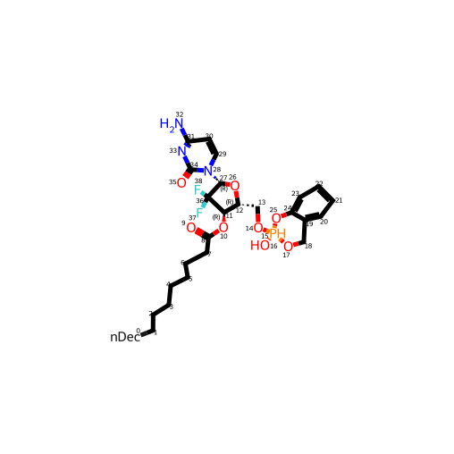 CCCCCCCCCCCCCCCCCC(=O)O[C@@H]1[C@@H](CO[PH]2(O)OCc3ccccc3O2)O[C@@H](n2ccc(N)nc2=O)C1(F)F